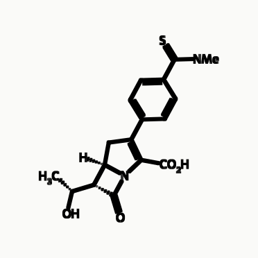 CNC(=S)c1ccc(C2=C(C(=O)O)N3C(=O)[C@H]([C@@H](C)O)[C@H]3C2)cc1